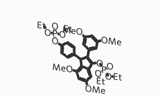 CCOP(=O)(OCC)OC1=C(c2cc(OC)cc(OC)c2)C(c2ccc(OP(=O)(OCC)OCC)cc2)c2c(OC)cc(OC)cc21